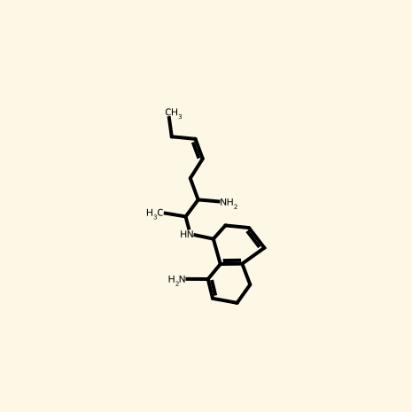 CC/C=C\CC(N)C(C)NC1CC=CC2=C1C(N)=CCC2